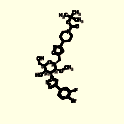 CO[C@@H]1[C@@H](n2cc(-c3ccc(Br)c(F)c3)nn2)[C@@H](O)[C@@H](CO)O[C@@H]1Cc1cc(C2CCN(C(=O)OC(C)(C)C)CC2)no1